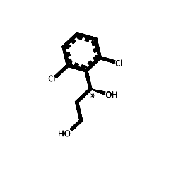 OCC[C@H](O)c1c(Cl)cccc1Cl